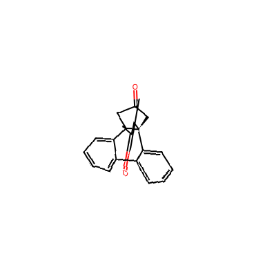 O=C1C[C@]23CC(=O)C[C@@]2(C1)c1ccccc1-c1ccccc13